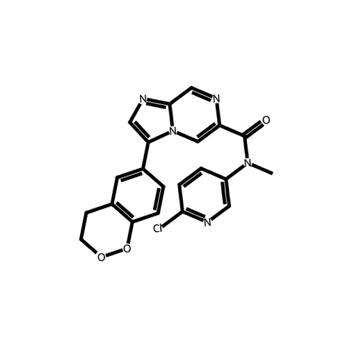 CN(C(=O)c1cn2c(-c3ccc4c(c3)CCOO4)cnc2cn1)c1ccc(Cl)nc1